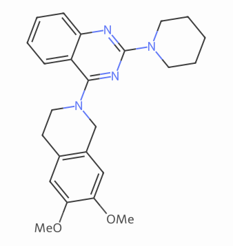 COc1cc2c(cc1OC)CN(c1nc(N3CCCCC3)nc3ccccc13)CC2